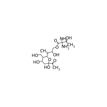 CC(=O)C1(O)CC(O)C([C@@H](C)O)C(C[C@H](O)COC(=O)C(N)(N)[C@H](C)O)O1